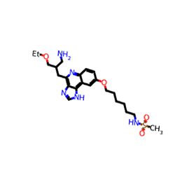 CCOCC(CN)Cc1nc2ccc(OCCCCCCNS(C)(=O)=O)cc2c2[nH]cnc12